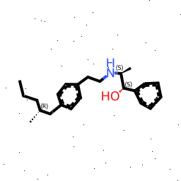 CCC[C@@H](C)Cc1ccc(CCN[C@@H](C)[C@@H](O)c2ccccc2)cc1